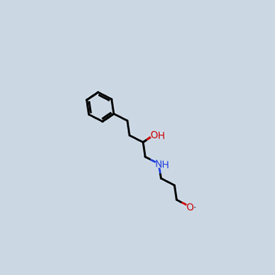 [O]CCCNCC(O)CCc1ccccc1